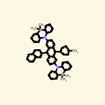 Cc1ccc(-c2c3ccc(N4c5ccccc5[Si](C)(C)c5ccccc54)cc3c(-c3ccc4ccccc4c3)c3ccc(N4c5ccccc5[Si](C)(C)c5ccccc54)cc23)cc1